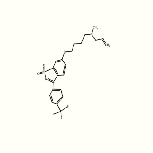 C=CCN(C)CCCCOc1ccc2c(c1)S(=O)(=O)N=C2c1ccc(C(F)(F)F)cc1